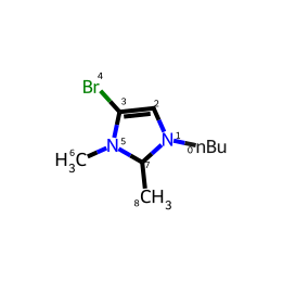 CCCCN1C=C(Br)N(C)C1C